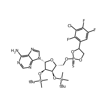 CC(C)(C)[Si](C)(C)O[C@@H]1[C@H](O[Si](C)(C)C(C)(C)C)[C@@H](COP2(=S)OCC(c3cc(F)c(F)c(Cl)c3F)O2)O[C@H]1n1cnc2c(N)ncnc21